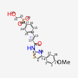 COc1ccc(-c2csc(NC(=O)/C=C/c3ccc(S(=O)(=O)CCO)cc3)n2)cc1